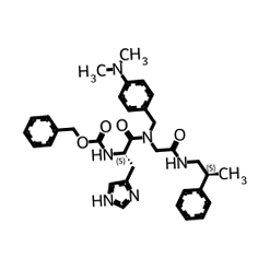 C[C@H](CNC(=O)CN(Cc1ccc(N(C)C)cc1)C(=O)[C@H](Cc1c[nH]cn1)NC(=O)OCc1ccccc1)c1ccccc1